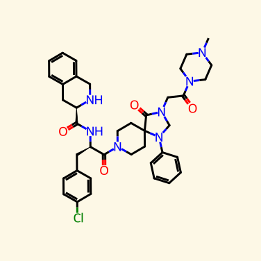 CN1CCN(C(=O)CN2CN(c3ccccc3)C3(CCN(C(=O)[C@@H](Cc4ccc(Cl)cc4)NC(=O)[C@H]4Cc5ccccc5CN4)CC3)C2=O)CC1